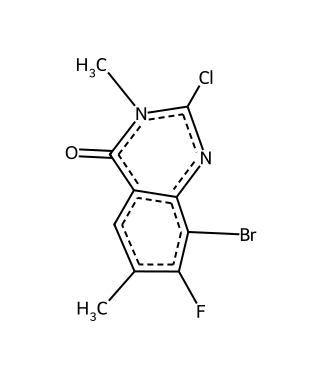 Cc1cc2c(=O)n(C)c(Cl)nc2c(Br)c1F